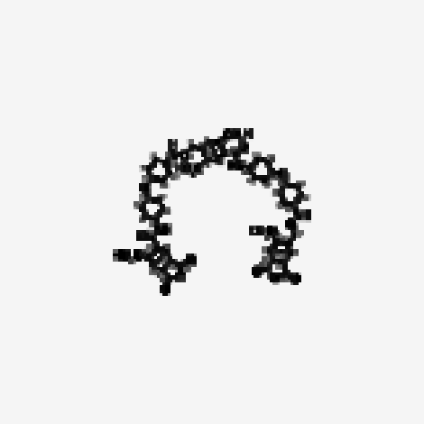 O=C(O)C1C2C=CC(C1CONc1ccc(Oc3ccc(NC(=O)C4C5C=CC(C4C(=O)O)C4C(=O)OC(=O)C54)cc3)cc1)C(C(=O)O)C2C(=O)Nc1ccc(Oc2ccc(NOCC3C4C=CC(C3C(=O)O)C3C(=O)OC(=O)C43)cc2)cc1